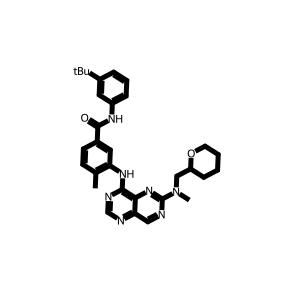 Cc1ccc(C(=O)Nc2cccc(C(C)(C)C)c2)cc1Nc1ncnc2cnc(N(C)CC3CCCCO3)nc12